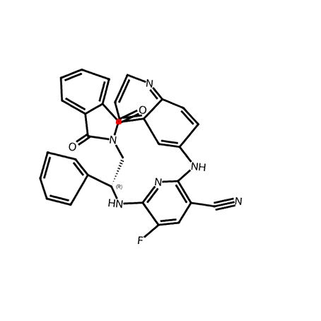 N#Cc1cc(F)c(N[C@@H](CN2C(=O)c3ccccc3C2=O)c2ccccc2)nc1Nc1ccc2ncccc2c1